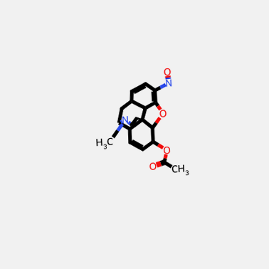 CC(=O)OC1C=CC2C3CC4C=CC(N=O)=C5OC1[C@@]2(CCN3C)C54